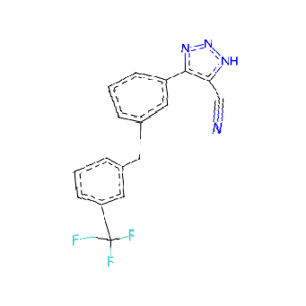 N#Cc1[nH]nnc1-c1cccc(Cc2cccc(C(F)(F)F)c2)c1